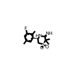 Cc1cc(F)c(C)c([C@@H]2CS(=O)(=O)C(C)(C)C(=N)N2)c1